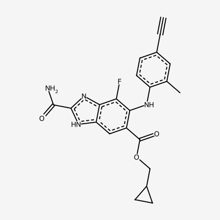 C#Cc1ccc(Nc2c(C(=O)OCC3CC3)cc3[nH]c(C(N)=O)nc3c2F)c(C)c1